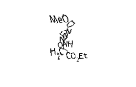 C=C(CC(=O)OCC)C(=O)Nc1cn2nc(-c3cccc(OC)c3)ccc2n1